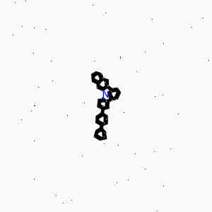 c1ccc(-c2ccc(-c3ccc4c(c3)c3cccc5c6cc7ccccc7cc6n4c35)cc2)cc1